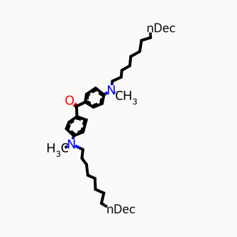 CCCCCCCCCCCCCCCCCCN(C)c1ccc(C(=O)c2ccc(N(C)CCCCCCCCCCCCCCCCCC)cc2)cc1